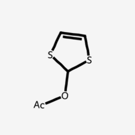 CC(=O)OC1SC=CS1